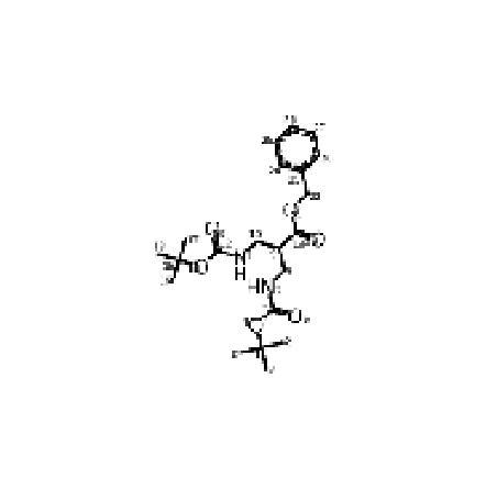 CC(C)(C)OC(=O)NCC(CNC(=O)OC(C)(C)C)C(=O)OCc1ccccc1